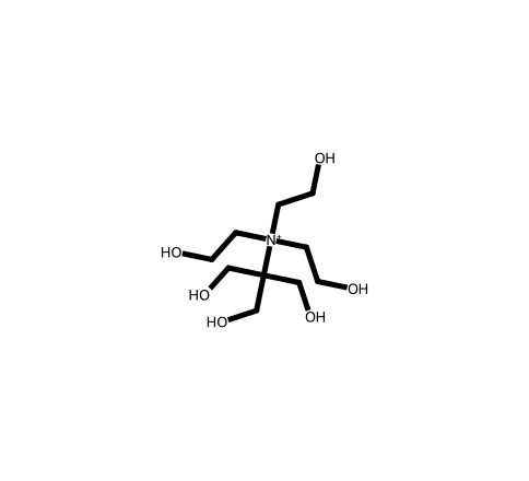 OCC[N+](CCO)(CCO)C(CO)(CO)CO